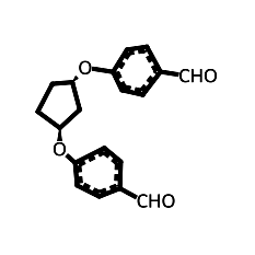 O=Cc1ccc(O[C@H]2CC[C@H](Oc3ccc(C=O)cc3)C2)cc1